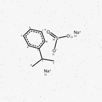 CC(C)c1ccccc1.O=S([O-])[O-].[Na+].[Na+]